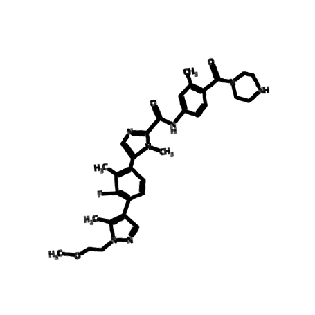 COCCn1ncc(-c2ccc(-c3cnc(C(=O)Nc4ccc(C(=O)N5CCNCC5)c(C)c4)n3C)c(C)c2F)c1C